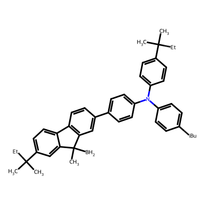 BC1(C)c2cc(-c3ccc(N(c4ccc(C(C)CC)cc4)c4ccc(C(C)(C)CC)cc4)cc3)ccc2-c2ccc(C(C)(C)CC)cc21